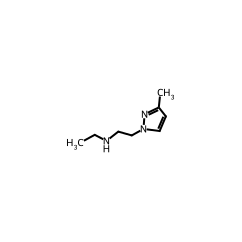 CCNCCn1ccc(C)n1